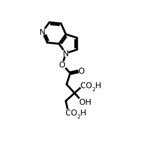 O=C(O)CC(O)(CC(=O)On1ccc2ccncc21)C(=O)O